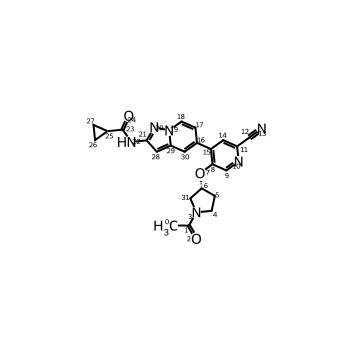 CC(=O)N1CC[C@@H](Oc2cnc(C#N)cc2-c2ccn3nc(NC(=O)C4CC4)cc3c2)C1